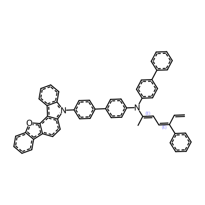 C=C/C(=C\C=C(/C)N(c1ccc(-c2ccccc2)cc1)c1ccc(-c2ccc(-n3c4ccccc4c4c5oc6ccccc6c5ccc43)cc2)cc1)c1ccccc1